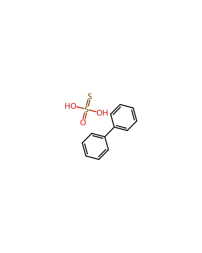 O=S(O)(O)=S.c1ccc(-c2ccccc2)cc1